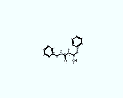 N#C[C@@H](Cc1ccccc1)NC(=O)OCc1ccccc1